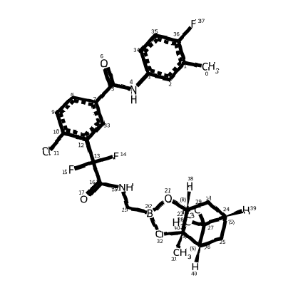 Cc1cc(NC(=O)c2ccc(Cl)c(C(F)(F)C(=O)NCB3O[C@@H]4C[C@@H]5C[C@@H](C5(C)C)[C@]4(C)O3)c2)ccc1F